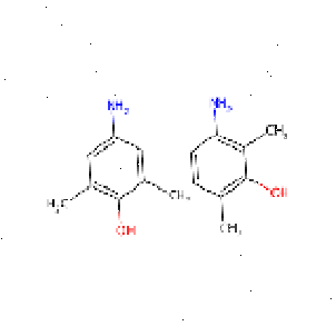 Cc1cc(N)cc(C)c1O.Cc1ccc(N)c(C)c1O